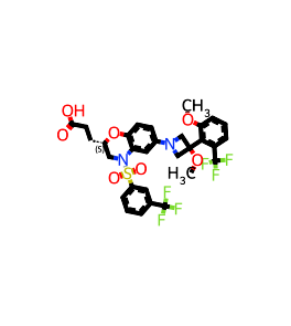 COc1cccc(C(F)(F)F)c1C1(OC)CN(c2ccc3c(c2)N(S(=O)(=O)c2cccc(C(F)(F)F)c2)C[C@H](CCC(=O)O)O3)C1